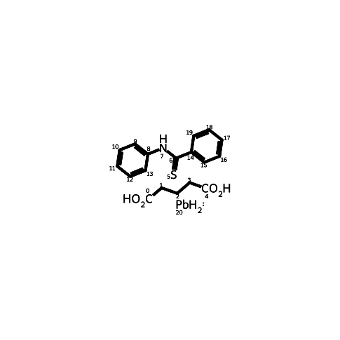 O=C(O)CCCC(=O)O.S=C(Nc1ccccc1)c1ccccc1.[PbH2]